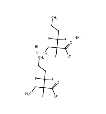 CCCC(F)(F)C(F)(CC)C(=O)[O-].CCCC(F)(F)C(F)(CC)C(=O)[O-].[B].[B].[Ni+2]